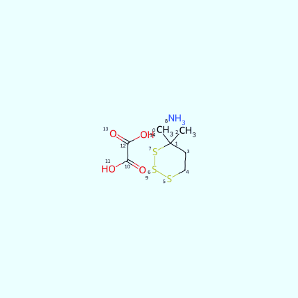 CC1(C)CCSSS1.N.O=C(O)C(=O)O